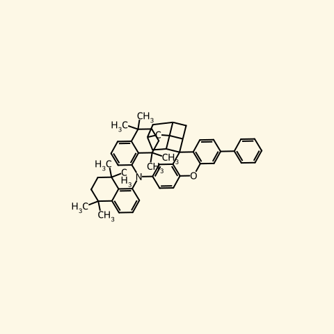 CC1(C)CCC(C)(C)c2c(N(c3ccc4c(c3)C3(c5ccc(-c6ccccc6)cc5O4)C4CC5CC6CC3C64C5)c3cccc4c3C(C)(C)CCC4(C)C)cccc21